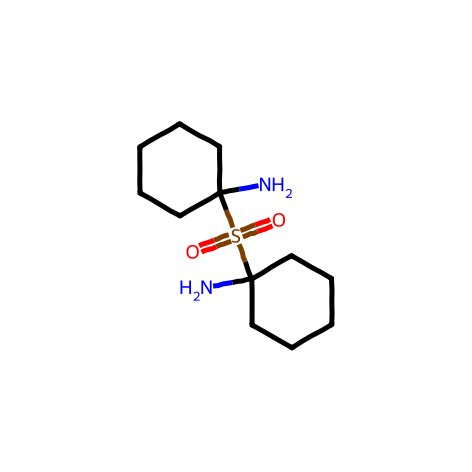 NC1(S(=O)(=O)C2(N)CCCCC2)CCCCC1